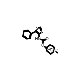 C[N+]12CCC(OC(=O)Nc3ncsc3-c3ccccc3)(CC1)CC2